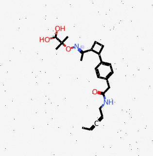 CC=C=CCNC(=O)Cc1ccc(C2CCC2/C(C)=N/OC(C)(C)C(O)O)cc1